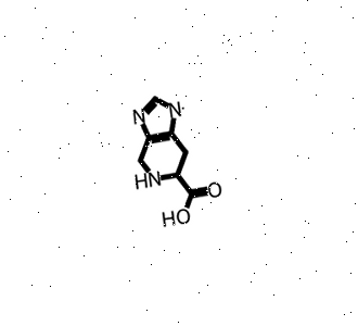 O=C(O)C1CC2=C(CN1)N=C[N]2